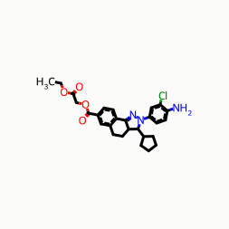 CCOC(=O)COC(=O)c1ccc2c(c1)CCC1C2=NN(c2ccc(N)c(Cl)c2)C1C1CCCC1